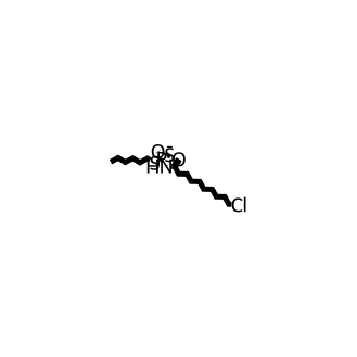 CCCCCCSP(=O)(NC(=O)CCCCCCCCCCl)SC